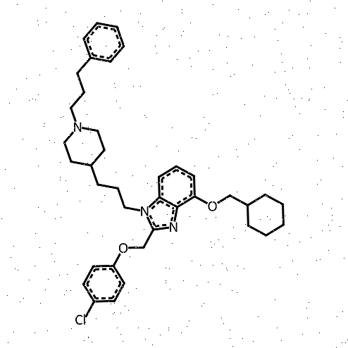 Clc1ccc(OCc2nc3c(OCC4CCCCC4)cccc3n2CCCC2CCN(CCCc3ccccc3)CC2)cc1